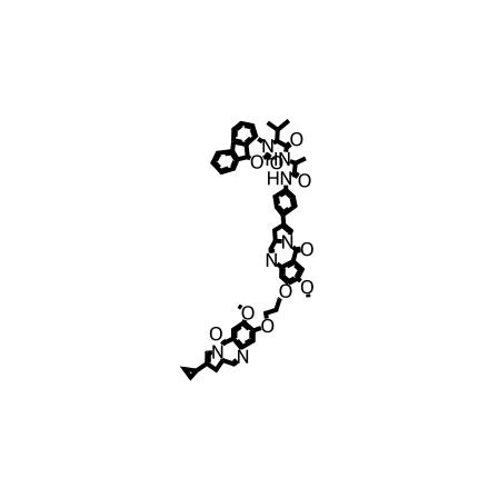 COc1cc2c(cc1OCCCOc1cc3c(cc1OC)C(=O)N1C=C(C4CC4)CC1C=N3)N=CC1CC(c3ccc(NC(=O)C(C)NC(=O)C(C(C)C)N(C)C(=O)OC4c5ccccc5-c5ccccc54)cc3)=CN1C2=O